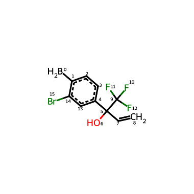 Bc1ccc(C(O)(C=C)C(F)(F)F)cc1Br